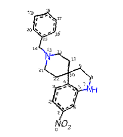 O=[N+]([O-])c1ccc2c(c1)NCCC21CCN(Cc2ccccc2)CC1